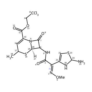 CO/N=C(/C(=O)NC1C(=O)N2C(C(=O)OCC(Cl)(Cl)Cl)=CC(C)S[C@H]12)C1=CSC(N)N1